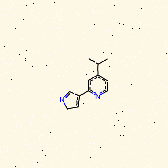 CC(C)c1ccnc(C2=CCN=C2)c1